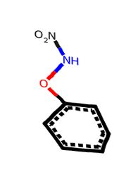 O=[N+]([O-])NOc1ccccc1